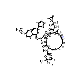 COc1ccc2c(OC3C[C@H]4C(=O)N[C@]5(C(=O)NS(=O)(=O)C6CC6)C[C@H]5/C=C\CCCSC[C@H](NC(=O)OC(C)(C)C)C(=O)N4C3)nc(-n3cccn3)cc2c1